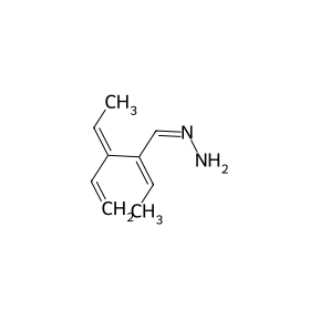 C=CC(=C/C)/C(/C=N\N)=C\C